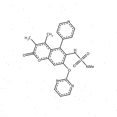 CNS(=O)(=O)Nc1c(Oc2ncccn2)cc2oc(=O)c(C)c(C)c2c1-c1ccncc1